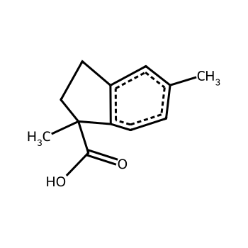 Cc1ccc2c(c1)CCC2(C)C(=O)O